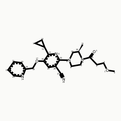 COCCC(=O)N1CCN(c2nc(C3CC3)c(OCc3ccccn3)cc2C#N)C[C@H]1C